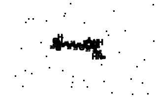 CNCCc1c[nH]c2ccc(OCCCCCCNS(C)(=O)=O)cc12